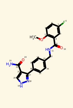 COc1ccc(F)cc1C(=O)NCc1ccc(-c2n[nH]cc2C(N)=O)cc1